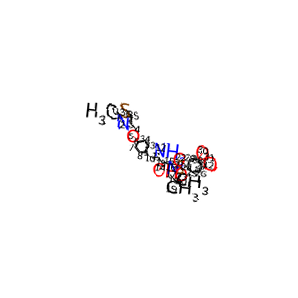 Cc1nc(COc2ccc(C[C@H](N)[C@H](O)CN(CC(C)C)S(=O)(=O)c3ccc4c(c3)OCO4)cc2)cs1